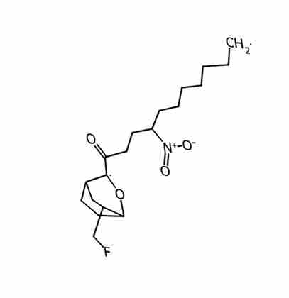 [CH2]CCCCCCC(CCC(=O)[C]1OC2CCC1CC2CF)[N+](=O)[O-]